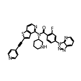 O=C(c1ccc(-n2nnc3cccnc32)cc1F)N(c1nccc2sc(C#Cc3ccncc3)cc12)[C@@H]1CCCNC1